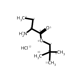 CCC(N)C(=O)OCC(C)(C)C.Cl